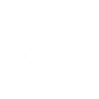 C1COCCOCCSCCSCCOCCO1